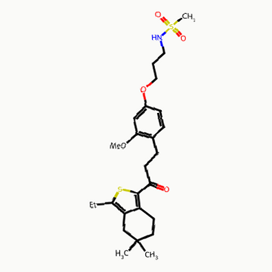 CCc1sc(C(=O)CCc2ccc(OCCCNS(C)(=O)=O)cc2OC)c2c1CC(C)(C)CC2